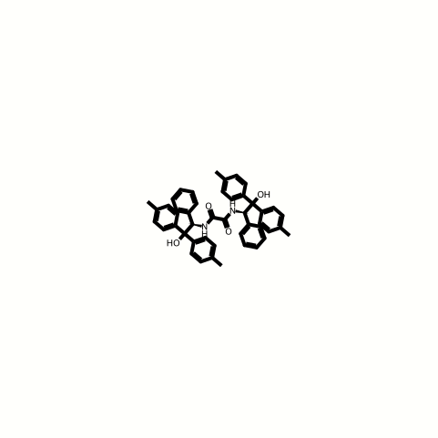 Cc1ccc(C(O)(c2ccc(C)cc2)[C@H](NC(=O)C(=O)N[C@H](c2ccccc2)C(O)(c2ccc(C)cc2)c2ccc(C)cc2)c2ccccc2)cc1